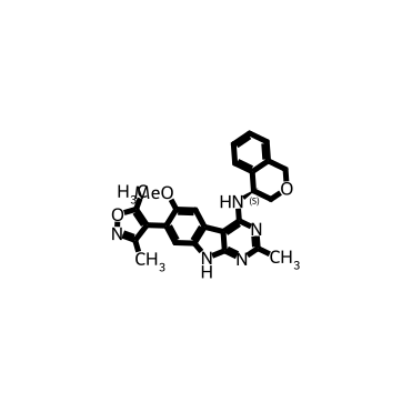 COc1cc2c(cc1-c1c(C)noc1C)[nH]c1nc(C)nc(N[C@@H]3COCc4ccccc43)c12